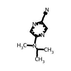 CC(C)N(C)c1cnc(C#N)cn1